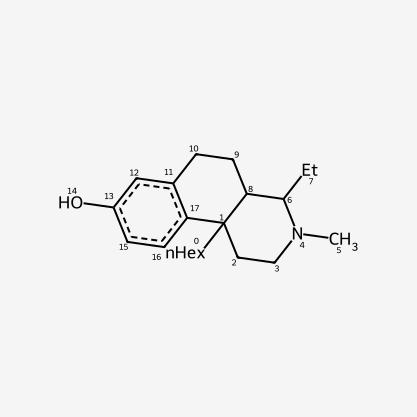 CCCCCCC12CCN(C)C(CC)C1CCc1cc(O)ccc12